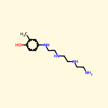 Cc1cc(NCCNCCNCCN)ccc1O